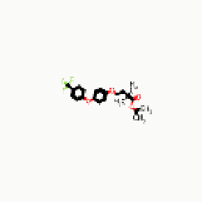 CC(C)OC(=O)C(C)(C)CCOc1ccc(Oc2ccc(C(F)(F)F)cc2)cc1